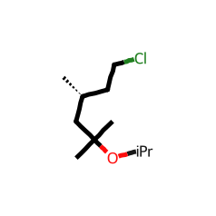 CC(C)OC(C)(C)C[C@H](C)CCCl